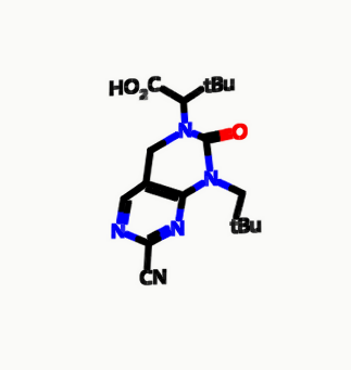 CC(C)(C)CN1C(=O)N(C(C(=O)O)C(C)(C)C)Cc2cnc(C#N)nc21